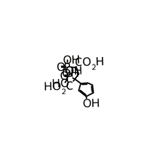 O=C(O)C(CC(C(=O)O)(c1cccc(O)c1)P(=O)(O)O)P(=O)(O)O